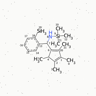 CC1=C(C)C(C)C(C(N[Si](C)(C)C)c2ccccc2[SiH3])=C1C